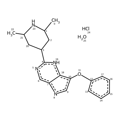 CC1CC(c2ncc3ncc(Oc4ccccc4)c-3[nH]2)CC(C)N1.Cl.O